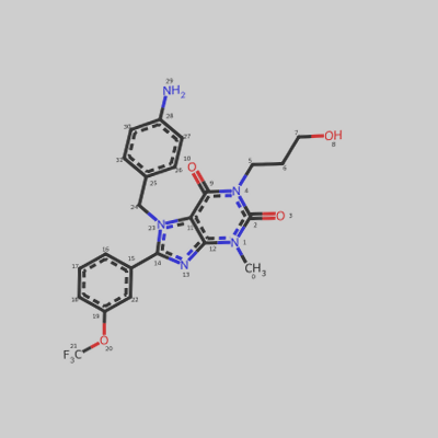 Cn1c(=O)n(CCCO)c(=O)c2c1nc(-c1cccc(OC(F)(F)F)c1)n2Cc1ccc(N)cc1